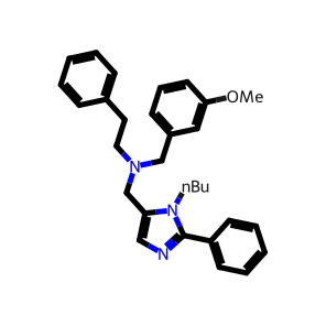 CCCCn1c(CN(CCc2ccccc2)Cc2cccc(OC)c2)cnc1-c1ccccc1